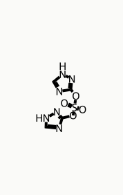 O=S(=O)(Oc1nc[nH]n1)Oc1nc[nH]n1